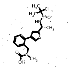 C[C@@H](N[S@+]([O-])C(C)(C)C)c1cc(-c2ccccc2CN(C)C(=O)O)cs1